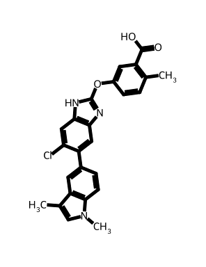 Cc1ccc(Oc2nc3cc(-c4ccc5c(c4)c(C)cn5C)c(Cl)cc3[nH]2)cc1C(=O)O